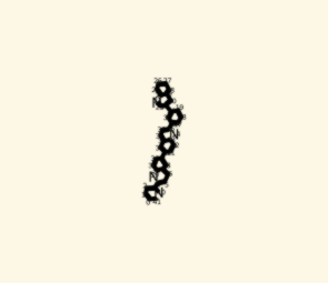 c1ccc(-c2ccc3cc(-c4ccc5nc(-c6cccc(-c7cnc8ccccc8c7)c6)ccc5c4)ccc3n2)nc1